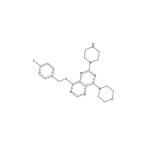 Fc1ccc(CSc2ncnc3c(N4CCOCC4)nc(N4CCNCC4)nc23)cc1